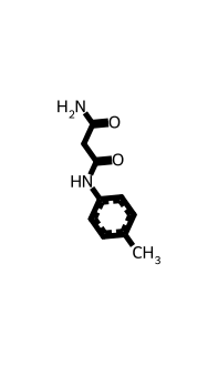 Cc1ccc(NC(=O)CC(N)=O)cc1